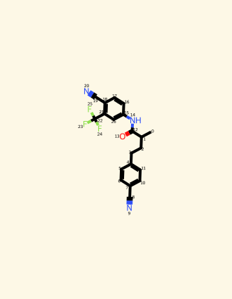 CC(CCc1ccc(C#N)cc1)C(=O)Nc1ccc(C#N)c(C(F)(F)F)c1